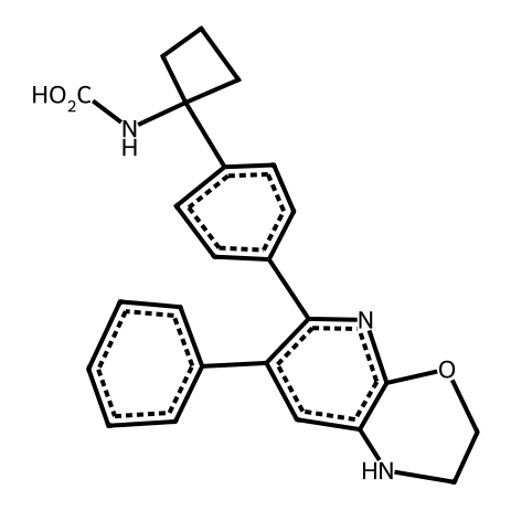 O=C(O)NC1(c2ccc(-c3nc4c(cc3-c3ccccc3)NCCO4)cc2)CCC1